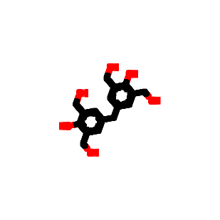 OCc1cc(Cc2cc(CO)c(O)c(CO)c2)cc(CO)c1O